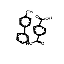 O=C(O)c1ccc(C(=O)O)cc1.Oc1ccc(-c2ccccc2)cc1